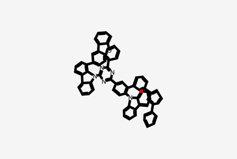 c1ccc(-c2cccc(-c3cccc(-c4cc(-c5nc(-c6ccccc6)nc(-n6c7ccccc7c7cccc(-c8ccc9oc%10ccccc%10c9c8)c76)n5)ccc4-n4c5ccccc5c5ccccc54)c3)c2)cc1